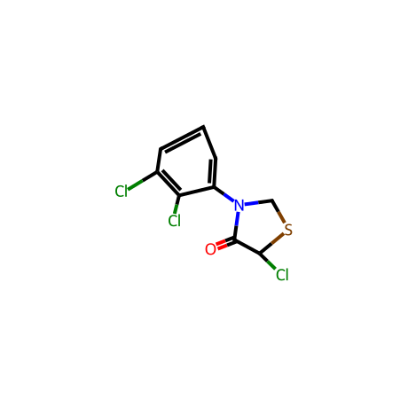 O=C1C(Cl)SCN1c1cccc(Cl)c1Cl